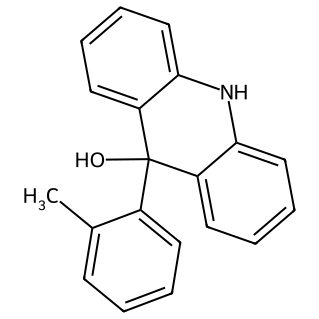 Cc1ccccc1C1(O)c2ccccc2Nc2ccccc21